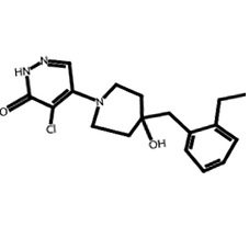 CCc1ccccc1CC1(O)CCN(c2cn[nH]c(=O)c2Cl)CC1